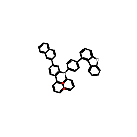 c1ccc(-c2ccc(-c3ccc4ccccc4c3)cc2N(c2ccccc2)c2ccc(-c3cccc4oc5ccccc5c34)cc2)cc1